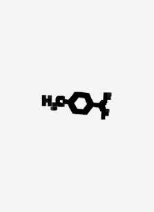 C[C@H]1CC[C@@H](C(F)F)CC1